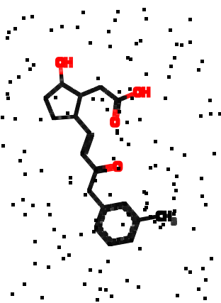 Cc1cccc(CC(=O)C=CC2CCC(O)C2CC(=O)O)c1